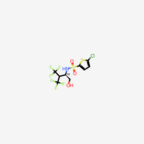 O=S(=O)(N[C@@H](CO)C(C(F)(F)F)C(F)(F)F)c1ccc(Cl)s1